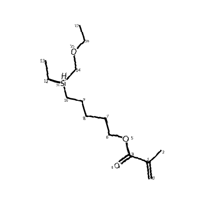 C=C(C)C(=O)OCCCCC[SiH](CC)COCC